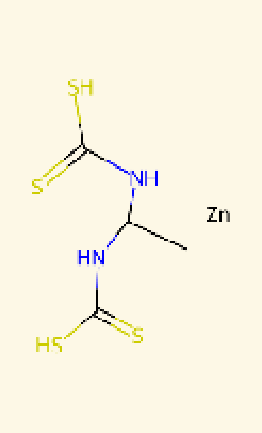 CC(NC(=S)S)NC(=S)S.[Zn]